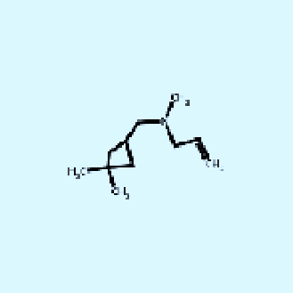 C=CCN(C)CC1CC(C)(C)C1